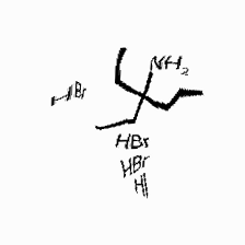 Br.Br.Br.CCC(N)(CC)CC.I